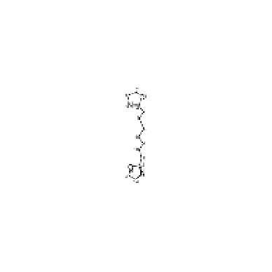 C(CCCC1=NCCO1)CCCC1=NCCO1